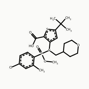 COP(=O)(c1ccc(Cl)cc1C)N(CC1CCOCC1)c1cc(C(C)(C)C)sc1C(=O)O